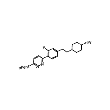 CCCCCc1ccc(-c2ccc(CCC3CCC(CCC)CC3)cc2F)nn1